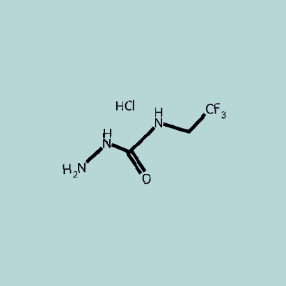 Cl.NNC(=O)NCC(F)(F)F